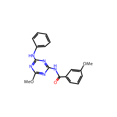 COc1cccc(C(=O)Nc2nc(Nc3ccccc3)nc(OC)n2)c1